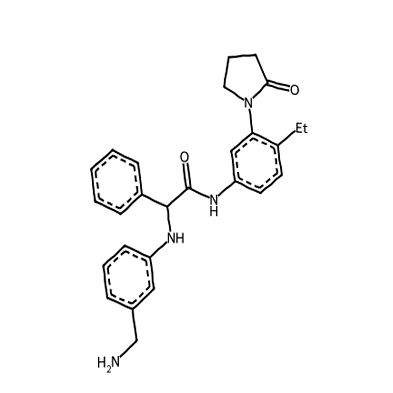 CCc1ccc(NC(=O)C(Nc2cccc(CN)c2)c2ccccc2)cc1N1CCCC1=O